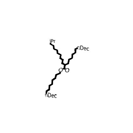 CCCCCCCCCCCCCCCCCCOC(=O)C(CCCCCCCCCCCCCCCC)CCCCCCCCCC(C)C